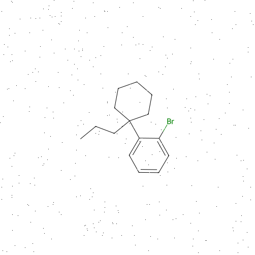 CCCC1(c2ccccc2Br)CCCCC1